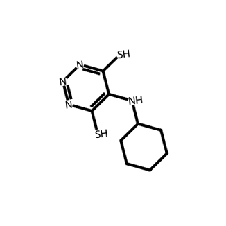 Sc1nnnc(S)c1NC1CCCCC1